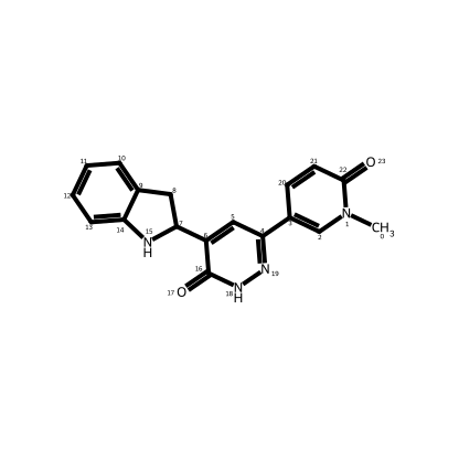 Cn1cc(-c2cc(C3Cc4ccccc4N3)c(=O)[nH]n2)ccc1=O